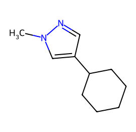 Cn1cc(C2CCCCC2)cn1